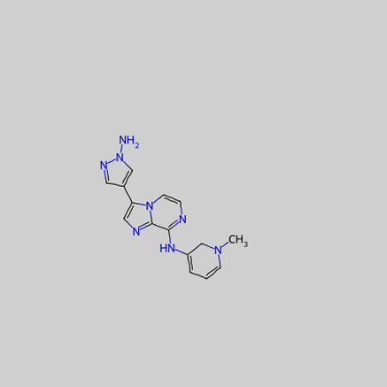 CN1C=CC=C(Nc2nccn3c(-c4cnn(N)c4)cnc23)C1